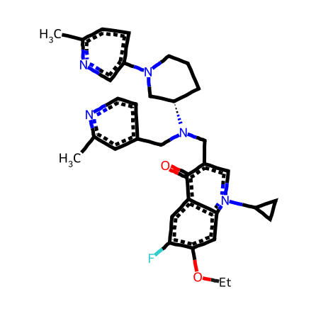 CCOc1cc2c(cc1F)c(=O)c(CN(Cc1ccnc(C)c1)[C@H]1CCCN(c3ccc(C)nc3)C1)cn2C1CC1